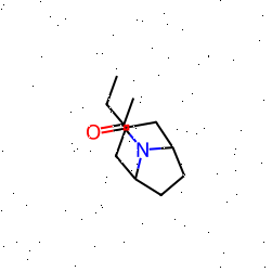 CCC1CC2CCC(C1)N2C(C)=O